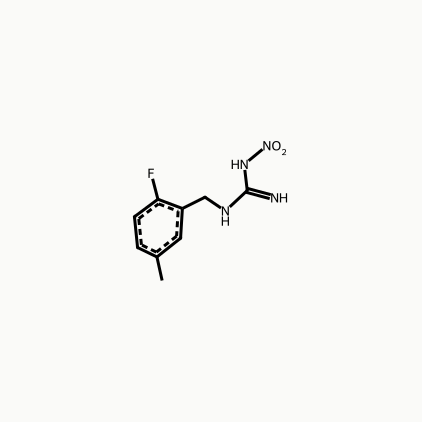 Cc1ccc(F)c(CNC(=N)N[N+](=O)[O-])c1